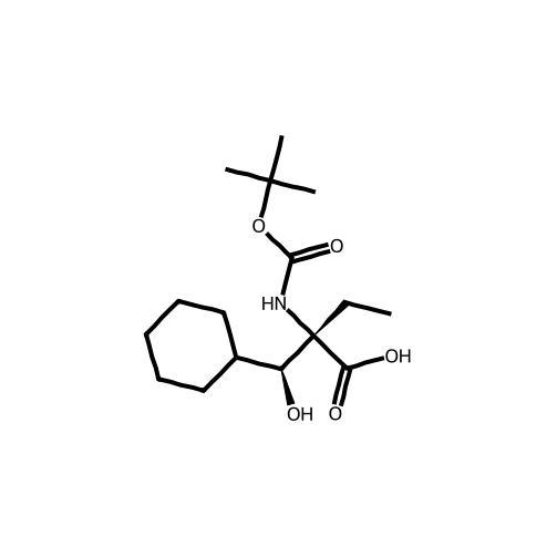 CC[C@@](NC(=O)OC(C)(C)C)(C(=O)O)[C@@H](O)C1CCCCC1